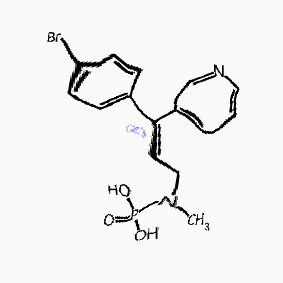 CN(C/C=C(/c1ccc(Br)cc1)c1cccnc1)P(=O)(O)O